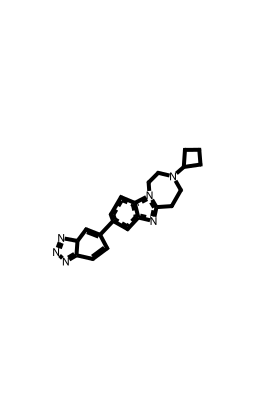 C1=CC2=NN=NC2C=C1c1ccc2c(c1)nc1n2CCN(C2CCC2)CC1